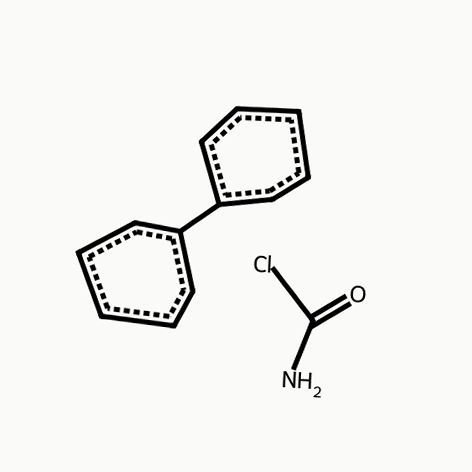 NC(=O)Cl.c1ccc(-c2ccccc2)cc1